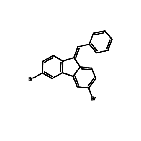 Brc1ccc2c(c1)-c1cc(Br)ccc1C2=Cc1ccccc1